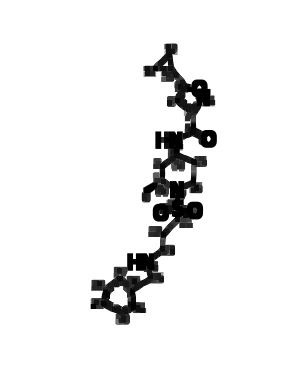 C[C@H]1C[C@@H](NC(=O)c2cc(C3CC3)on2)CCN1S(=O)(=O)CCCNCc1ccccc1